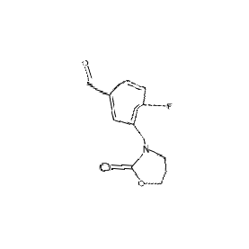 O=Cc1ccc(F)c(N2CCOC2=O)c1